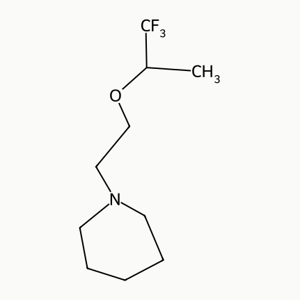 CC(OCCN1CCCCC1)C(F)(F)F